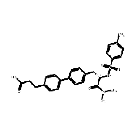 Cc1ccc(S(=O)(=O)N[C@@H](Cc2ccc(-c3ccc(CCC(=O)O)cc3)cc2)C(=O)N(C)C)cc1